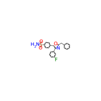 NS(=O)(=O)c1ccc(-c2oc(Cc3ccccc3)nc2-c2cccc(F)c2)cc1